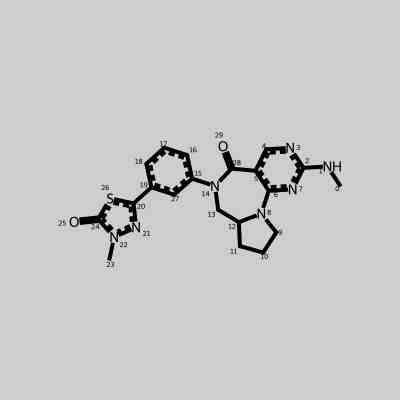 CNc1ncc2c(n1)N1CCCC1CN(c1cccc(-c3nn(C)c(=O)s3)c1)C2=O